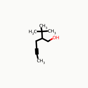 CC#CCC(CO)C(C)(C)C